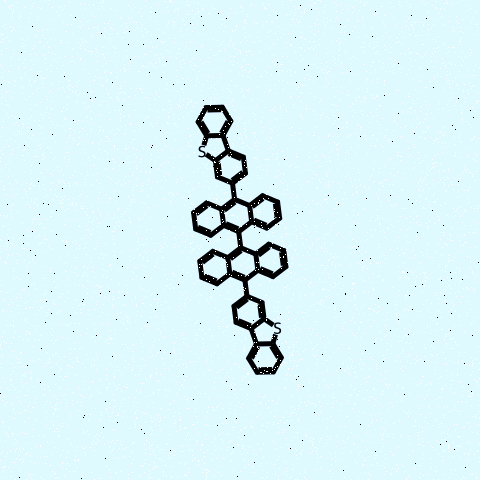 c1ccc2c(c1)sc1cc(-c3c4ccccc4c(-c4c5ccccc5c(-c5ccc6c(c5)sc5ccccc56)c5ccccc45)c4ccccc34)ccc12